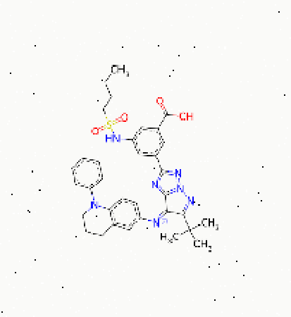 CCCCS(=O)(=O)Nc1cc(C(=O)O)cc(-c2nc3n(n2)N=C(C(C)(C)C)/C3=N/c2ccc3c(c2)CCCN3c2ccccc2)c1